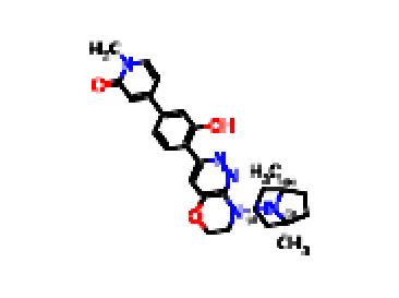 Cn1ccc(-c2ccc(-c3cc4c(nn3)N([C@H]3C[C@]5(C)CC[C@](C)(C3)N5)CCO4)c(O)c2)cc1=O